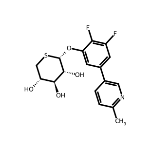 Cc1ccc(-c2cc(F)c(F)c(O[C@H]3SC[C@@H](O)[C@H](O)[C@H]3O)c2)cn1